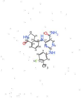 NC(=O)c1cnc(Nc2ccc(F)c(C(F)(F)F)c2)nc1Nc1cccc2c1CCNC2=O